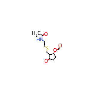 CC(=O)NCCSCC1C(=O)CCC1OC=O